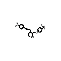 CN(C)c1ccc(C#CCC2CCNCC2COc2ccc(C(F)(F)F)cc2)cc1